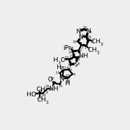 Cc1c(-c2[nH]c3sc([C@@H]4C[C@@H]5C[C@H]4CN5CC(=O)NCCC(C)(C)O)c(C)c3c2C(C)C)cn2ncnc2c1C